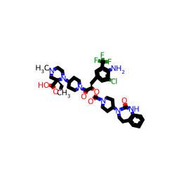 CC[C@@]1(C(=O)O)CN(C)CCN1C1CCN(C(=O)[C@@H](Cc2cc(Cl)c(N)c(C(F)(F)F)c2)OC(=O)N2CCC(N3CCc4ccccc4NC3=O)CC2)CC1